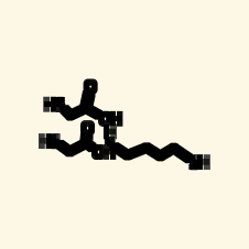 O=C(O)CS.O=C(O)CS.SCCCCS